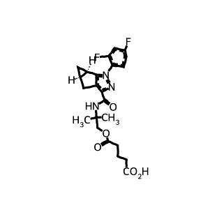 CC(C)(COC(=O)CCCC(=O)O)NC(=O)c1nn(-c2ccc(F)cc2F)c2c1C[C@H]1C[C@@H]21